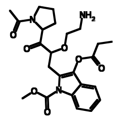 CCC(=O)Oc1c(CC(OCCN)C(=O)C2CCCN2C(C)=O)n(C(=O)OC)c2ccccc12